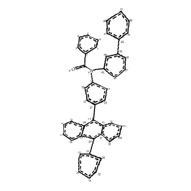 O=C(c1ccccc1)N(c1ccc(-c2c3ccccc3c(-c3ccccc3)c3ccccc23)cc1)c1cccc(-c2ccccc2)c1